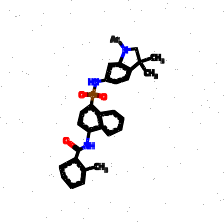 CC(=O)N1CC(C)(C)c2ccc(NS(=O)(=O)c3ccc(NC(=O)c4ccccc4C)c4ccccc34)cc21